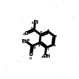 CCC(=O)c1cccc(O)c1C(=O)CC